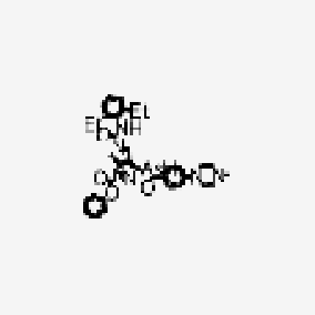 CCc1cccc(CC)c1NC(=O)N1Cc2c([AsH]C(=O)c3ccc(N4CCN(C)CC4)cc3)nn(C(=O)Oc3ccccc3)c2C1